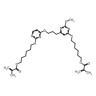 C=C(C)C(=O)OCCCCCCSc1cc(CCCOc2ccnc(SCCCCCCOC(=O)C(=C)C)n2)nc(SC)n1